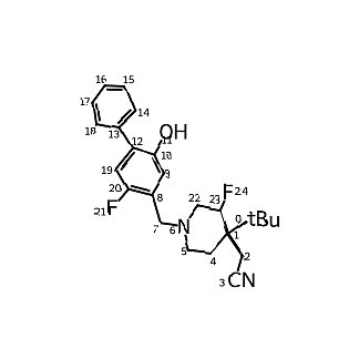 CC(C)(C)C1(CC#N)CCN(Cc2cc(O)c(-c3ccccc3)cc2F)CC1F